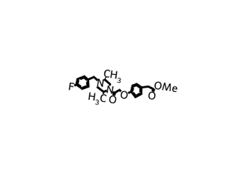 COC(=O)Cc1ccc(OCC(=O)N2C[C@@H](C)N(Cc3ccc(F)cc3)C[C@@H]2C)cc1